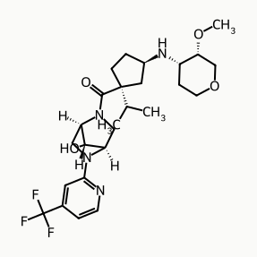 CO[C@@H]1COCC[C@@H]1N[C@@H]1CC[C@@](C(=O)N2C[C@@H]3[C@H](O)[C@H]2CN3c2cc(C(F)(F)F)ccn2)(C(C)C)C1